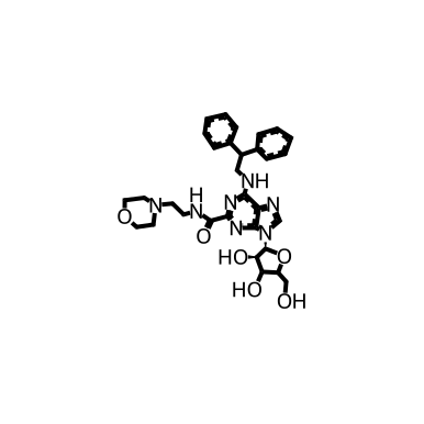 O=C(NCCN1CCOCC1)c1nc(NCC(c2ccccc2)c2ccccc2)c2ncn([C@@H]3OC(CO)C(O)[C@H]3O)c2n1